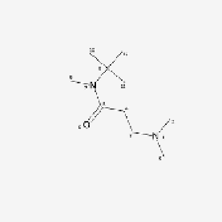 CN(C)CCC(=O)N(C)C(C)(C)C